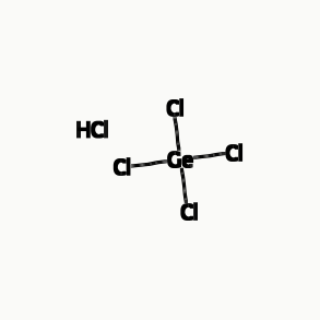 Cl.[Cl][Ge]([Cl])([Cl])[Cl]